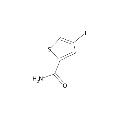 NC(=O)c1cc(I)cs1